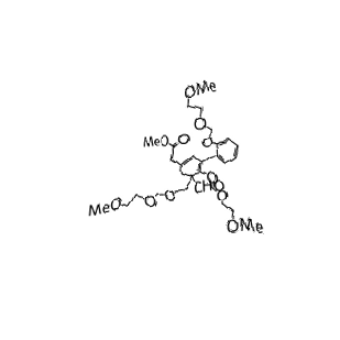 COCCOCOCCC1(C=O)CC(CC(=O)OC)=CC(c2ccccc2OCOCCOC)=C1OCOCCOC